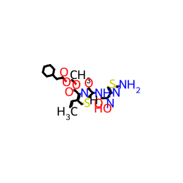 C/C=C\C1=C(C(=O)OC(C)OC(=O)CC2CCCCC2)N2C(=O)C(NC(=O)/C(=N\O)c3csc(N)n3)[C@H]2SC1